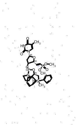 COP(=O)(/C=C/[C@H]1O[C@@H](n2cc(C)c(=O)[nH]c2=O)CC1O[P@]1O[C@@H](C[Si](C)(c2ccccc2)c2ccccc2)[C@H]2CCCN21)OC